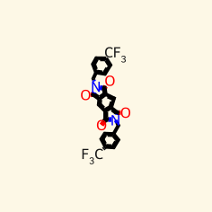 O=c1c2cc3c(=O)n(Cc4ccc(C(F)(F)F)cc4)c(=O)c3cc2c(=O)n1Cc1ccc(C(F)(F)F)cc1